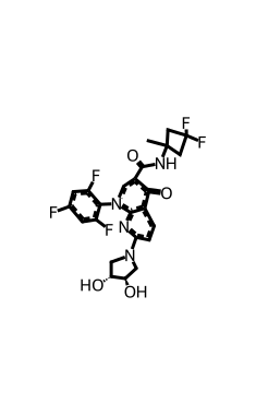 CC1(NC(=O)c2cn(-c3c(F)cc(F)cc3F)c3nc(N4C[C@@H](O)[C@H](O)C4)ccc3c2=O)CC(F)(F)C1